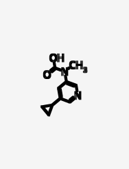 CN(C(=O)O)c1cncc(C2CC2)c1